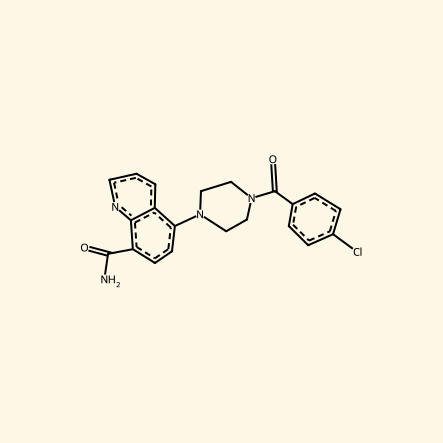 NC(=O)c1ccc(N2CCN(C(=O)c3ccc(Cl)cc3)CC2)c2cccnc12